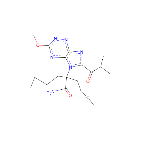 CCCCC(CCCC)(C(N)=O)n1c(C(=O)C(C)C)nc2nnc(OC)nc21